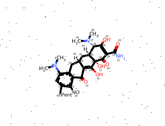 CCCCCc1cc(N(C)C)c2c(c1N=O)C(=O)C1=C(O)[C@]3(O)C(=O)C(C(N)=O)=C(O)[C@@H](N(C)C)[C@@H]3C[C@@H]1C2